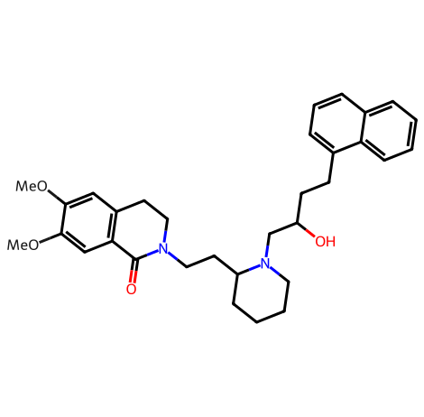 COc1cc2c(cc1OC)C(=O)N(CCC1CCCCN1CC(O)CCc1cccc3ccccc13)CC2